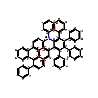 c1ccc(-c2ccccc2-c2ccccc2-c2ccc(N(c3ccccc3)c3c(-c4ccccc4)c(-c4ccccc4)c(-c4ccccc4)c(-c4ccccc4)c3-c3ccccc3)cc2)cc1